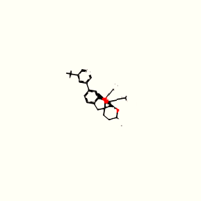 COC1CCC2(CC1)Cc1ccc(-c3cncc(C(F)(F)F)c3)cc1C21N=C(N)N(C(C)C)C1=O